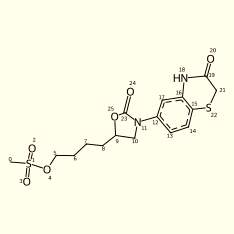 CS(=O)(=O)OCCCCC1CN(c2ccc3c(c2)NC(=O)CS3)C(=O)O1